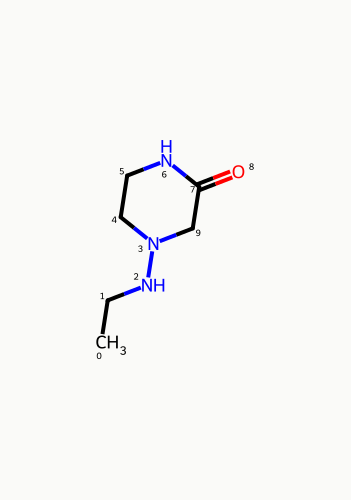 CCNN1CCNC(=O)C1